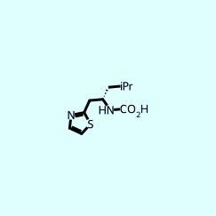 CC(C)C[C@@H](Cc1nccs1)NC(=O)O